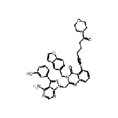 Nc1ncnc2c1c(-c1cccc(O)c1)nn2Cc1nc2cccc(C#CCCCC(=O)N3CCOCC3)c2c(=O)n1Cc1ccc2occc2c1